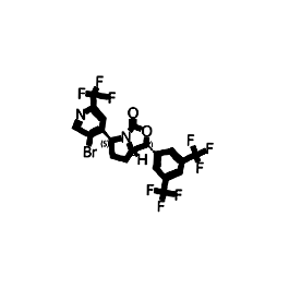 O=C1O[C@H](c2cc(C(F)(F)F)cc(C(F)(F)F)c2)[C@@H]2CC[C@@H](c3cc(C(F)(F)F)ncc3Br)N12